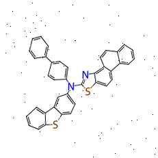 c1ccc(-c2ccc(N(c3ccc4sc5ccccc5c4c3)c3nc4c(ccc5c6ccccc6ccc54)s3)cc2)cc1